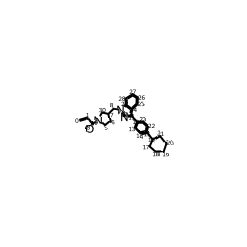 C=CC(=O)N1CCC(Cn2nc(-c3ccc(C4CCCCC4)cc3)c3ccccc32)C1